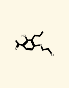 CCCc1c(OCCCl)ccc(C(C)=O)c1O